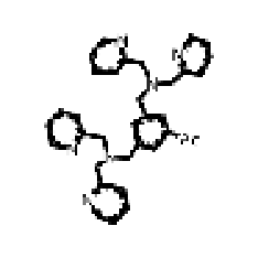 CC(=O)c1cc(CN(Cc2ccccn2)Cc2ccccn2)cc(CN(Cc2ccccn2)Cc2ccccn2)c1